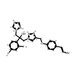 CC(=O)C=Cc1ccc(OCc2cn(CC(O)(Cn3cncn3)c3ccc(F)cc3F)nn2)cc1